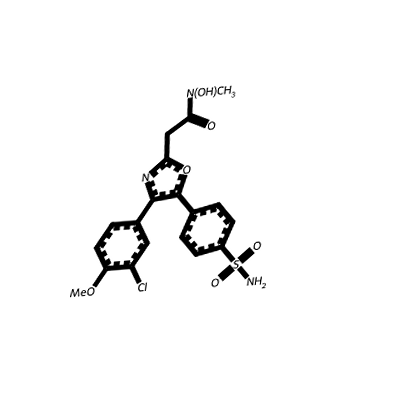 COc1ccc(-c2nc(CC(=O)N(C)O)oc2-c2ccc(S(N)(=O)=O)cc2)cc1Cl